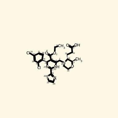 CCOC(=O)C1=C(CN2CCO[C@H](C)[C@H]2CCC(=O)O)NC(c2nccs2)=N[C@H]1c1ccc(Cl)cc1Cl